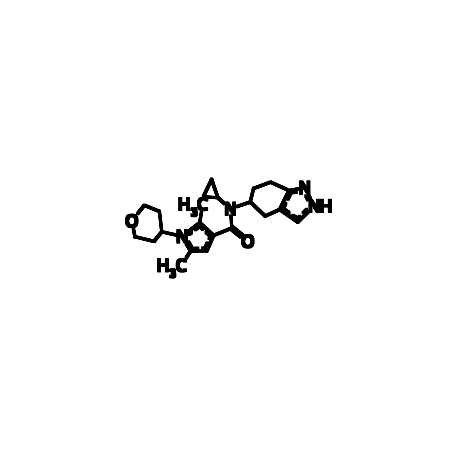 Cc1cc(C(=O)N(C2CC2)C2CCc3n[nH]cc3C2)c(C)n1C1CCOCC1